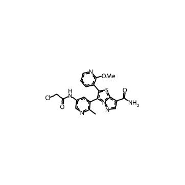 COc1ncccc1-c1sc2c(C(N)=O)cnn2c1-c1cc(NC(=O)CCl)cnc1C